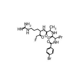 CC(NC(=O)C(NC(=O)c1ccc(Br)cc1)C(C)C)C(=O)NC(CCCNC(=N)N)C(=O)CF